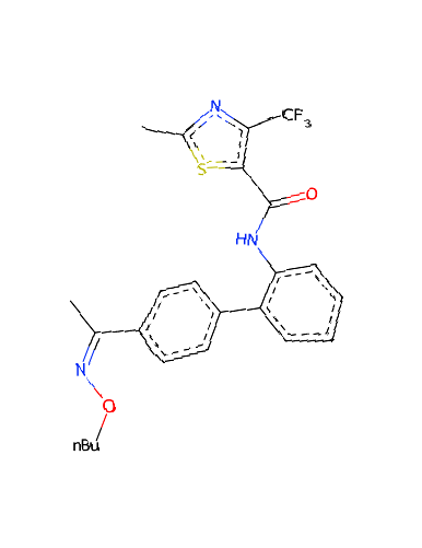 CCCCO/N=C(/C)c1ccc(-c2ccccc2NC(=O)c2sc(C)nc2C(F)(F)F)cc1